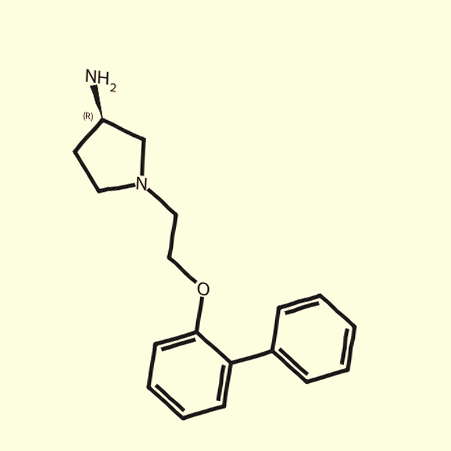 N[C@@H]1CCN(CCOc2ccccc2-c2ccccc2)C1